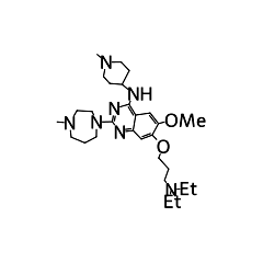 CCN(CC)CCCOc1cc2nc(N3CCCN(C)CC3)nc(NC3CCN(C)CC3)c2cc1OC